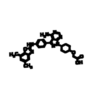 Cc1cc(C)c2oc(Nc3ccc(-c4nn([C@H]5CC[C@H](OCC(=O)O)CC5)c5ncnc(N)c45)cc3)nc2c1